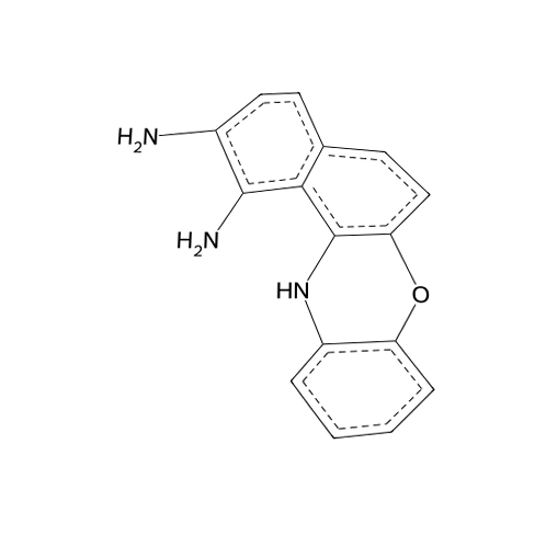 Nc1ccc2ccc3c(c2c1N)Nc1ccccc1O3